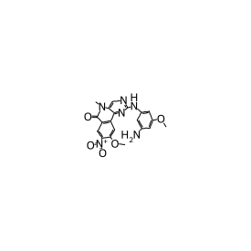 COc1cc(N)cc(Nc2ncc3c(n2)c2cc(OC)c([N+](=O)[O-])cc2c(=O)n3C)c1